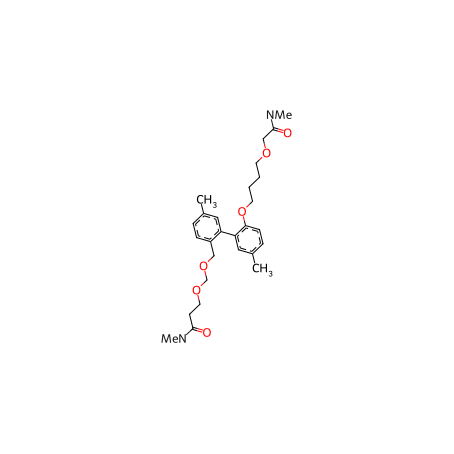 CNC(=O)CCOCOCc1ccc(C)cc1-c1cc(C)ccc1OCCCCOCC(=O)NC